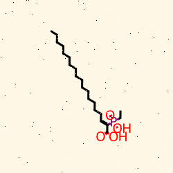 CCCCCCCCCCCCCCCCC=C(C(=O)O)P(=O)(O)CC